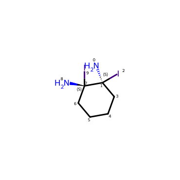 N[C@]1(I)CCCC[C@]1(N)I